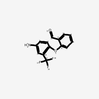 Nc1ccc(Oc2ccccc2C=O)c(C(F)(F)F)c1